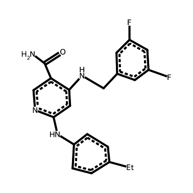 CCc1ccc(Nc2cc(NCc3cc(F)cc(F)c3)c(C(N)=O)cn2)cc1